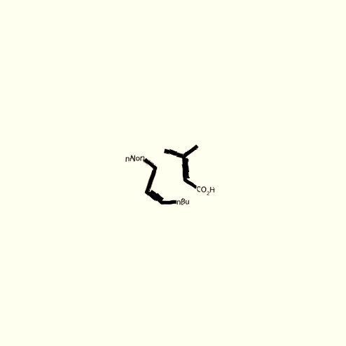 CC(C)=CC(=O)O.CCCC/C=C\CCCCCCCCCC